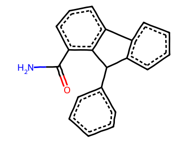 NC(=O)c1cccc2c1C(c1ccccc1)c1ccccc1-2